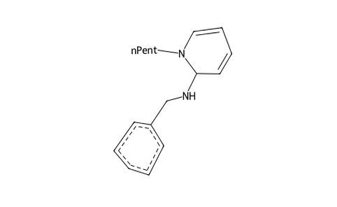 CCCCCN1C=CC=CC1NCc1ccccc1